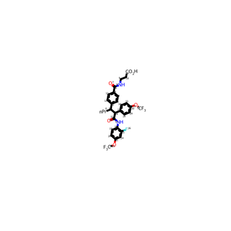 CCCC(c1ccc(C(=O)NCCC(=O)O)cc1)C(C(=O)Nc1ccc(OC(F)(F)F)cc1F)c1ccc(OC(F)(F)F)cc1